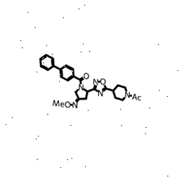 CON=C1CC(c2noc(C3CCN(C(C)=O)CC3)n2)N(C(=O)c2ccc(-c3ccccc3)cc2)C1